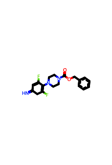 N=C1C=C(F)C(N2CCN(C(=O)OCc3ccccc3)CC2)=C(F)C1